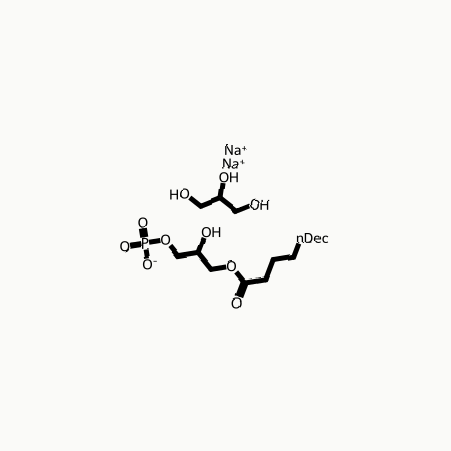 CCCCCCCCCCCCCC(=O)OCC(O)COP(=O)([O-])[O-].OCC(O)CO.[Na+].[Na+]